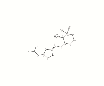 CC(C)CN1CC[C@H](OC[C@H]2CCCC(F)(F)[C@@H]2N)C1